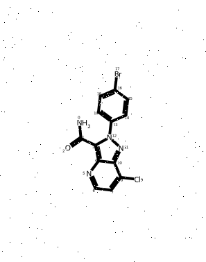 NC(=O)c1c2nccc(Cl)c2nn1-c1ccc(Br)cc1